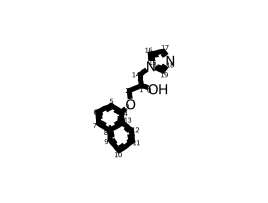 OC(COc1cccc2ccccc12)Cn1ccnc1